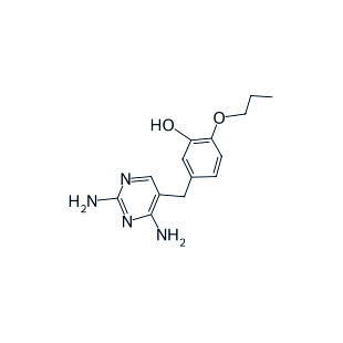 CCCOc1ccc(Cc2cnc(N)nc2N)cc1O